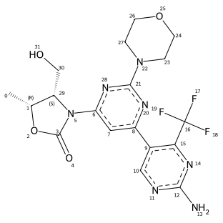 C[C@H]1OC(=O)N(c2cc(-c3cnc(N)nc3C(F)(F)F)nc(N3CCOCC3)n2)[C@H]1CO